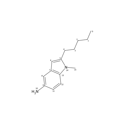 CCCCCc1cc2cc(N)ccc2n1C